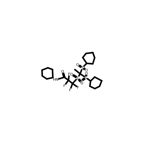 CC(S(=O)(=O)C1CCCCC1)(S(=O)(=O)C1CCCCC1)S(=O)(=O)C(F)(F)C(F)(F)C(=O)NC1CCCCC1